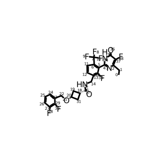 CCc1nc(-c2c(C(F)(F)F)ccc(CNC(=O)[C@H]3C[C@H](OCc4cccc(F)c4F)C3)c2F)[nH]c(=O)c1F